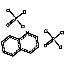 O=P(Cl)(Cl)Cl.O=P(Cl)(Cl)Cl.c1ccc2ncccc2c1